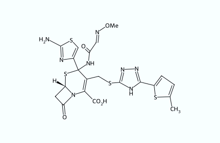 CON=CC(=O)NC1(c2csc(N)n2)S[C@H]2CC(=O)N2C(C(=O)O)=C1CSc1nnc(-c2ccc(C)s2)[nH]1